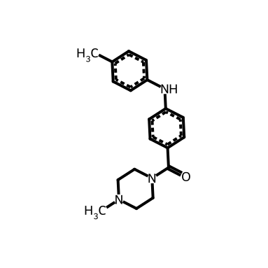 Cc1ccc(Nc2ccc(C(=O)N3CCN(C)CC3)cc2)cc1